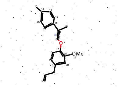 C=CCc1ccc(O/C=C(\C)c2ccc(C)cc2)c(OC)c1